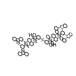 C=C1c2ccc3c4c(ccc(c24)C(=C)N1c1cc(Cn2c4ccccc4c4ccccc42)cc(-n2c4ccccc4c4ccccc42)c1)C(=C)N(c1cc(C(C)(C)c2ccc(O)c(N4C(=O)c5ccc6c7c(ccc(c57)C4=O)C(=O)N(c4cc(C5C7=CCC=C7C=C5c5ccccc5)cc(C5C(c7ccccc7)=Cc7ccccc75)c4)C6=O)c2)ccc1O)C3=C